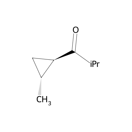 CC(C)C(=O)[C@@H]1C[C@H]1C